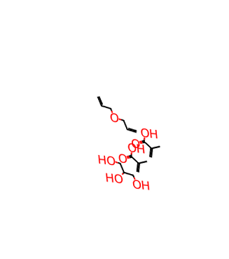 C=C(C)C(=O)O.C=C(C)C(=O)O.C=CCOCC=C.OCC(O)CO